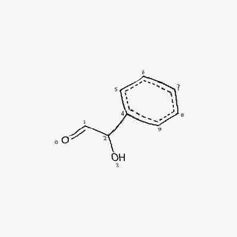 O=CC(O)c1cc[c]cc1